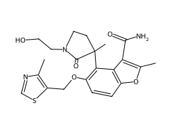 Cc1ncsc1COc1ccc2oc(C)c(C(N)=O)c2c1C1(C)CCN(CCO)C1=O